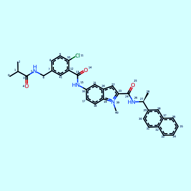 CC(C)C(=O)NCc1ccc(Cl)c(C(=O)Nc2ccc3c(c2)cc(C(=O)N[C@@H](C)c2ccc4ccccc4c2)n3C)c1